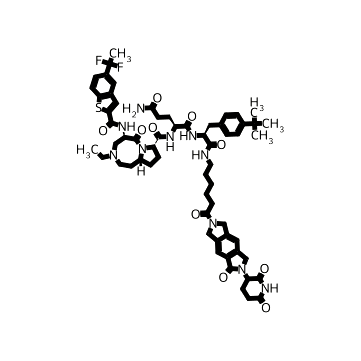 CCN1CC[C@H]2CC[C@@H](C(=O)N[C@@H](CCC(N)=O)C(=O)N[C@@H](Cc3ccc(C(C)(C)C)cc3)C(=O)NCCCCCC(=O)N3Cc4cc5c(cc4C3)C(=O)N(C3CCC(=O)NC3=O)C5)N2C(=O)[C@@H](NC(=O)c2cc3cc(C(C)(F)F)ccc3s2)C1